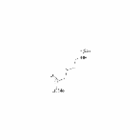 COC(=O)CCCCNC(C)(C)C